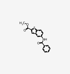 COC(=O)c1cc2cc(NC(=O)c3ccccc3)ccc2s1